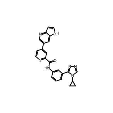 O=C(Nc1cccc(-c2nncn2C2CC2)c1)c1cc(-c2cnc3cc[nH]c3c2)ccn1